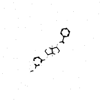 CSc1nccc(O[C@H]2CO[C@H]3[C@@H]2OC[C@@H]3OC(=O)c2ccccc2)n1